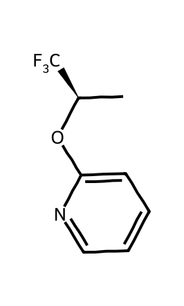 C[C@@H](Oc1ccccn1)C(F)(F)F